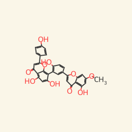 COc1cc(O)c2c(=O)cc(-c3ccc(O)c(-c4c(O)cc(O)c5c(=O)cc(-c6ccc(O)cc6)oc45)c3)oc2c1